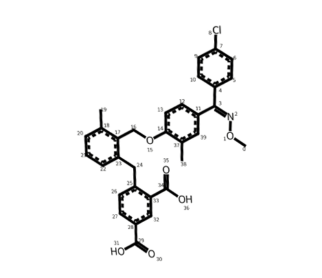 CON=C(c1ccc(Cl)cc1)c1ccc(OCc2c(C)cccc2Cc2ccc(C(=O)O)cc2C(=O)O)c(C)c1